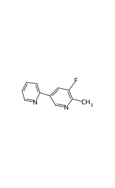 Cc1ncc(-c2ccccn2)cc1F